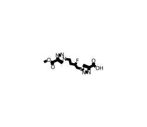 COC(=O)c1cn(CCC(F)Cn2cc(C(=O)O)nn2)nn1